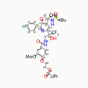 COc1cc(C(=O)NCC(O)(c2cc3c(c(-c4ccc(F)cc4)n2)OCC3(C)N[S+]([O-])C(C)(C)C)C(F)(F)F)ccc1OCCOC(=O)C(C)C